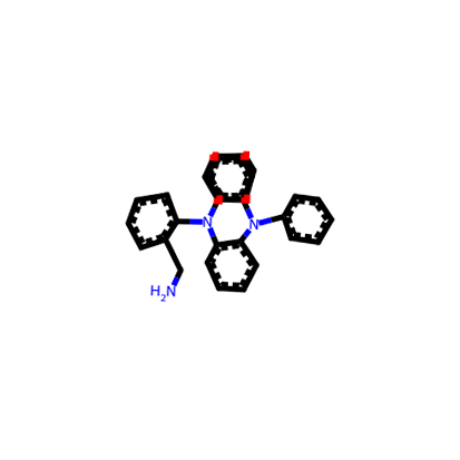 NCc1ccccc1N(c1ccccc1)c1ccccc1N(c1ccccc1)c1ccccc1